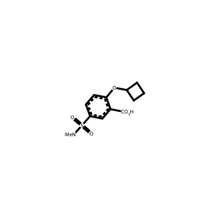 CNS(=O)(=O)c1ccc(OC2CCC2)c(C(=O)O)c1